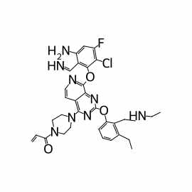 C=CC(=O)N1CCN(c2nc(Oc3cccc(CC)c3CCNCC)nc3c(Oc4c(Cl)c(F)cc(N)c4C=N)nccc23)CC1